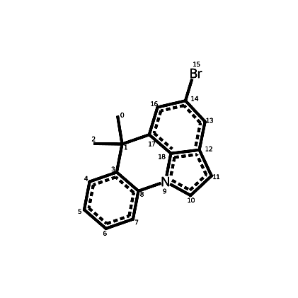 CC1(C)c2ccccc2-n2ccc3cc(Br)cc1c32